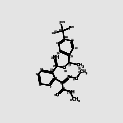 CNC(=O)/C(=N\OC)c1ccccc1C(=N)OC(C)c1ccc(C(F)(F)F)cc1